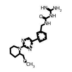 COCC1CCCCN1c1ncc(-c2cccc(CNC(=O)NC(=N)N)c2)cn1